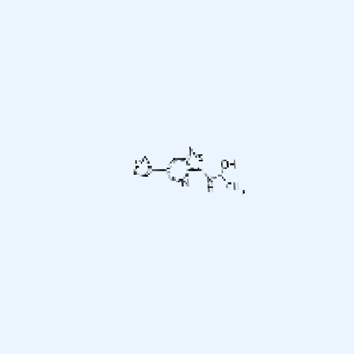 CC(O)Nc1snc2cc(-c3ccsc3)cnc12